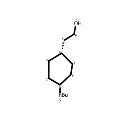 CCCC[C@H]1CC[C@H](CCO)CC1